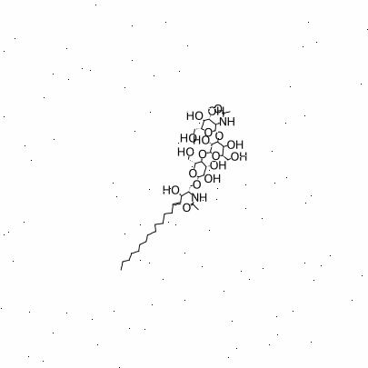 CCCCCCCCCCCCC/C=C/[C@@H](O)[C@H](CO[C@@H]1O[C@H](CO)[C@@H](O[C@@H]2O[C@H](CO)[C@H](O)[C@H](O[C@@H]3O[C@H](CO)[C@@H](O)[C@H](O)[C@H]3NC(C)=O)[C@H]2O)[C@H](O)[C@H]1O)NC(C)=O